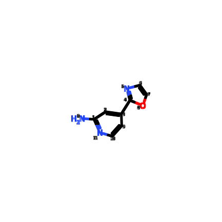 Nc1cc(-c2ncco2)ccn1